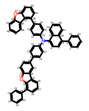 c1ccc(-c2ccc(N(c3ccc(-c4ccc5oc6c(-c7ccccc7)cccc6c5c4)cc3)c3ccc(-c4cccc5oc6ccccc6c45)cc3)c3ccccc23)cc1